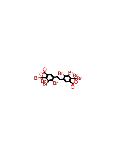 O=C1OC(Br)(Br)c2c1cc(CCc1cc3c(c(Br)c1Br)C(Br)(Br)OC3=O)c(Br)c2Br